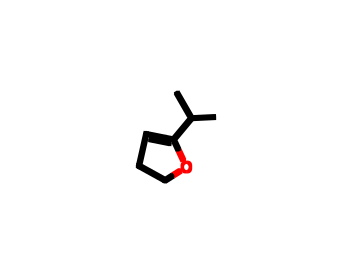 CC(C)C1=CCCO1